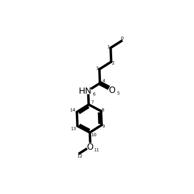 CCCCC(=O)Nc1ccc(OC)cc1